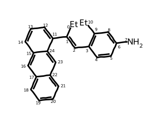 CCC(=Cc1ccc(N)cc1CC)c1cccc2cc3ccccc3cc12